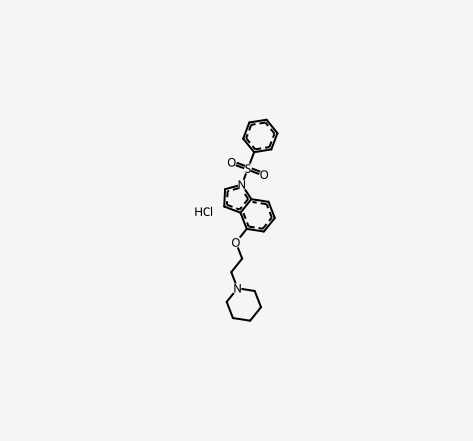 Cl.O=S(=O)(c1ccccc1)n1ccc2c(OCCN3CCCCC3)cccc21